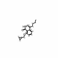 CCCCc1n[nH]c(=O)c2c(OCC3CC3)cccc12